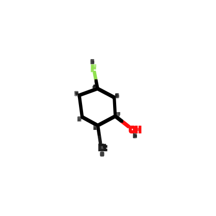 CCC1CCC(F)CC1O